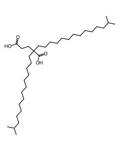 CC(C)CCCCCCCCCCCCC(CCCCCCCCCCCCC(C)C)(CCC(=O)O)C(=O)O